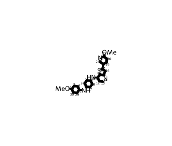 COc1ccc(Nc2ccc(Nc3ccnc4cc(-c5ccc(OC)nc5)sc34)cc2)cc1